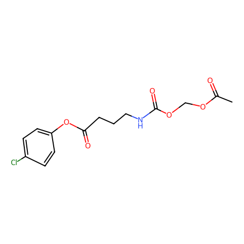 CC(=O)OCOC(=O)NCCCC(=O)Oc1ccc(Cl)cc1